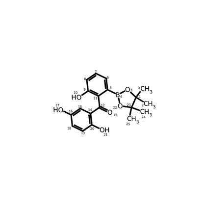 CC1(C)OB(c2cccc(O)c2C(=O)c2cc(O)ccc2O)OC1(C)C